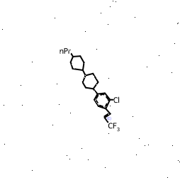 CCCC1CCC(C2CCC(c3ccc(/C=C/C(F)(F)F)c(Cl)c3)CC2)CC1